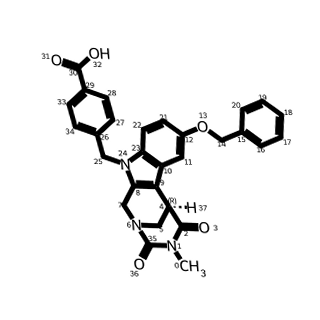 CN1C(=O)[C@H]2CN(Cc3c2c2cc(OCc4ccccc4)ccc2n3Cc2ccc(C(=O)O)cc2)C1=O